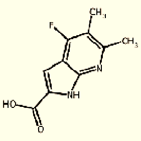 Cc1nc2[nH]c(C(=O)O)cc2c(F)c1C